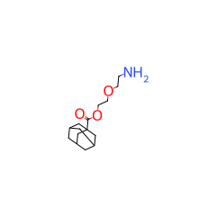 NCCOCCOC(=O)C12CC3CC(CC(C3)C1)C2